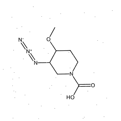 COC1CCN(C(=O)O)CC1N=[N+]=[N-]